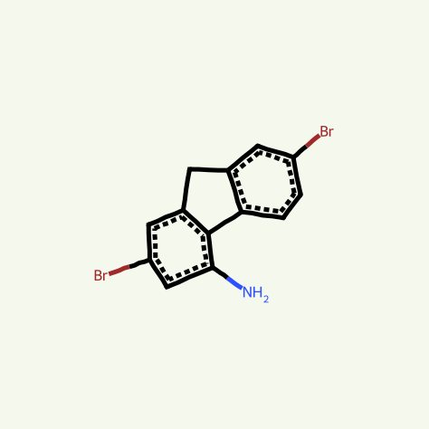 Nc1cc(Br)cc2c1-c1ccc(Br)cc1C2